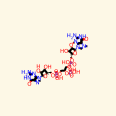 CO[C@@H]1[C@H](O)[C@@H](COP(=O)(O)OCC(COP(=O)(O)OC[C@H]2O[C@@H](n3cnc4c(=O)[nH]c(N)nc43)[C@H](O)[C@@H]2O)OP(=O)(O)O)O[C@H]1N1CN(C)c2c1nc(N)[nH]c2=O